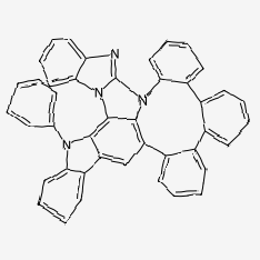 c1ccc(-n2c3ccccc3c3cc4c5ccccc5c5ccccc5c5ccccc5n5c4c(c32)n2c3ccccc3nc52)cc1